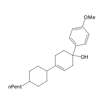 CCCCCC1CCC(C2=CCC(O)(c3ccc(OC)cc3)CC2)CC1